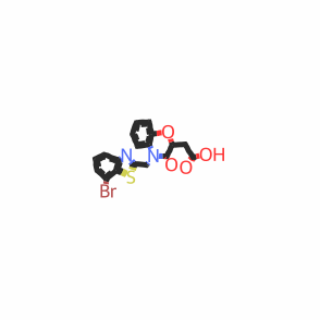 O=C(O)CC1Oc2ccccc2N(Cc2nc3cccc(Br)c3s2)C1=O